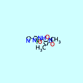 Cc1cc(CC(=O)Nc2ccc(-c3cccnc3)nc2F)c2c(c1)C(=O)N(C)C2=O